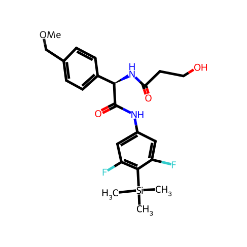 COCc1ccc([C@@H](NC(=O)CCO)C(=O)Nc2cc(F)c([Si](C)(C)C)c(F)c2)cc1